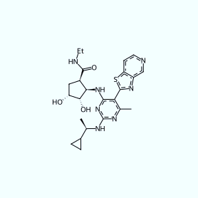 CCNC(=O)[C@@H]1C[C@@H](O)[C@@H](O)[C@@H]1Nc1nc(N[C@H](C)C2CC2)nc(C)c1-c1nc2cnccc2s1